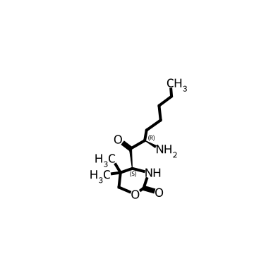 CCCCC[C@@H](N)C(=O)[C@H]1NC(=O)OCC1(C)C